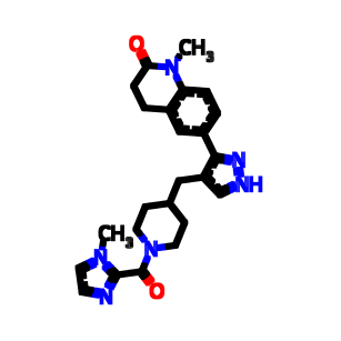 CN1C(=O)CCc2cc(-c3n[nH]cc3CC3CCN(C(=O)c4nccn4C)CC3)ccc21